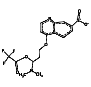 CN(C)C(CCOc1ccnc2cc([N+](=O)[O-])ccc12)OC(=O)C(F)(F)F